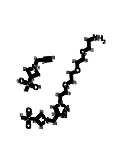 C#CCN1CC(S(C)(=O)=O)C1.CS(=O)(=O)C1CN(Cc2cn(CCOCCOCCOCCN)nn2)C1